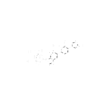 CC1(C)CC(n2nnc3cc(-c4ccc(-c5cn[nH]c5)c(F)c4O)nnc32)CC(C)(C)N1